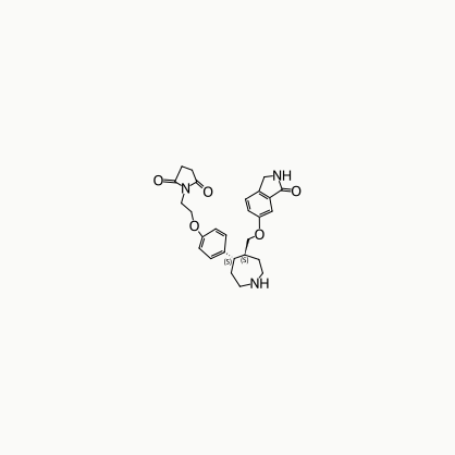 O=C1NCc2ccc(OC[C@H]3CCNCC[C@@H]3c3ccc(OCCN4C(=O)CCC4=O)cc3)cc21